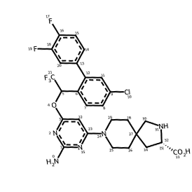 Nc1nc(OC(c2ccc(Cl)cc2-c2ccc(F)c(F)c2)C(F)(F)F)cc(N2CCC3(CC2)CN[C@H](C(=O)O)C3)n1